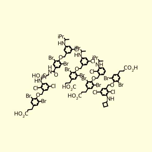 CC(C)C(C)Nc1cc(Cl)cc(COc2c(Br)cc(C(=O)NCC(=O)O)cc2Br)c1.CC(C)C(C)Nc1cc(Cl)cc(COc2c(Br)cc(CCC(=O)O)cc2Br)c1.CC(C)C(C)Nc1cccc(COc2c(Br)cc(CCC(=O)O)cc2Br)c1Cl.CC(C)Nc1cc(Cl)cc(COc2c(Br)cc(CCC(=O)O)cc2Br)c1Cl.O=C(O)CCc1cc(Br)c(OCc2cc(Cl)cc(NC3CCC3)c2Cl)c(Br)c1